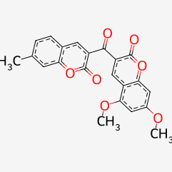 COc1cc(OC)c2cc(C(=O)c3cc4ccc(C)cc4oc3=O)c(=O)oc2c1